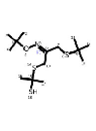 CC(C)(C)O/N=C(/CSC(C)(C)C)CSC(C)(C)S